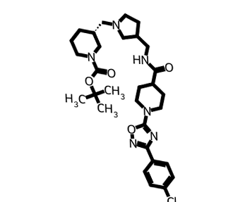 CC(C)(C)OC(=O)N1CCC[C@H](CN2CCC(CNC(=O)C3CCN(c4nc(-c5ccc(Cl)cc5)no4)CC3)C2)C1